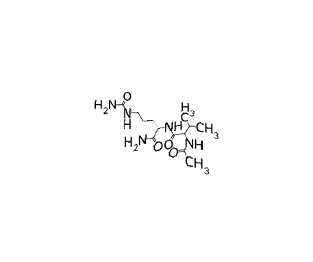 CC(=O)NC(C(=O)N[C@@H](CCCNC(N)=O)C(N)=O)C(C)C